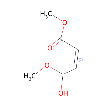 COC(=O)/C=C\C(O)OC